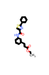 CCOC(=O)C=Cc1cccc(NC(=O)c2csc(-c3ccccc3)n2)c1